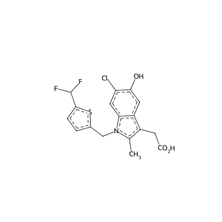 Cc1c(CC(=O)O)c2cc(O)c(Cl)cc2n1Cc1ccc(C(F)F)s1